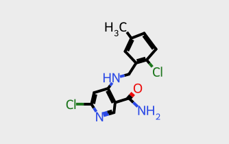 Cc1ccc(Cl)c(CNc2cc(Cl)ncc2C(N)=O)c1